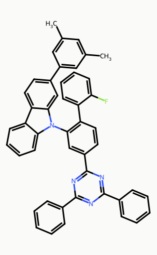 Cc1cc(C)cc(-c2ccc3c4ccccc4n(-c4cc(-c5nc(-c6ccccc6)nc(-c6ccccc6)n5)ccc4-c4ccccc4F)c3c2)c1